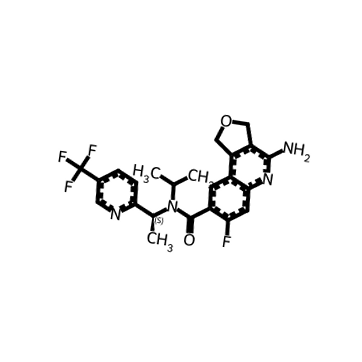 CC(C)N(C(=O)c1cc2c3c(c(N)nc2cc1F)COC3)[C@@H](C)c1ccc(C(F)(F)F)cn1